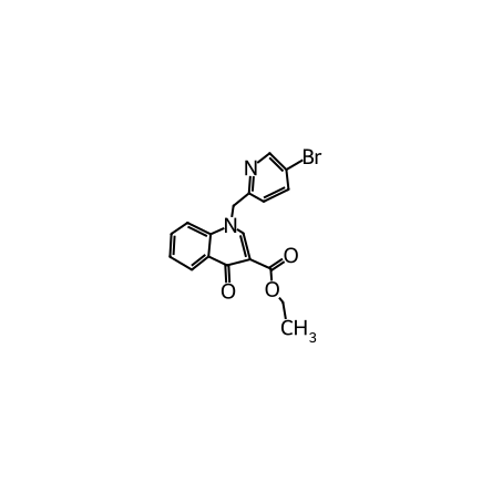 CCOC(=O)c1cn(Cc2ccc(Br)cn2)c2ccccc2c1=O